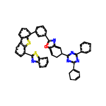 C1=CCCC(c2nc(-c3ccccc3)nc(C3C=c4nc(-c5cccc(-c6cccc7c6sc6c(-c8nc9ccccc9s8)cccc67)c5)oc4=CC3)n2)=C1